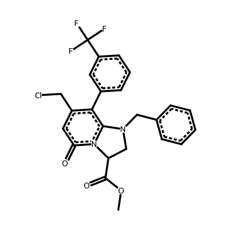 COC(=O)C1CN(Cc2ccccc2)c2c(-c3cccc(C(F)(F)F)c3)c(CCl)cc(=O)n21